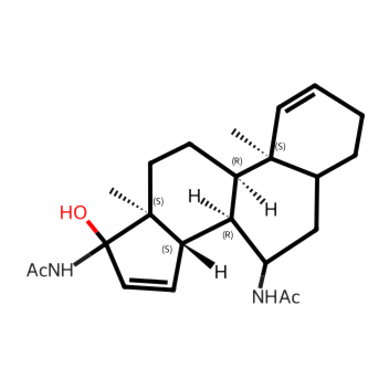 CC(=O)NC1CC2CCC=C[C@]2(C)[C@@H]2CC[C@@]3(C)[C@@H](C=CC3(O)NC(C)=O)[C@H]12